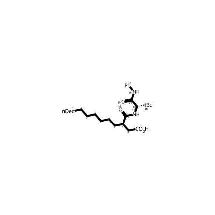 CCCCCCCCCCCCCCCCC(CC(=O)O)C(=O)N[C@H](C(=O)NC(C)C)C(C)(C)C